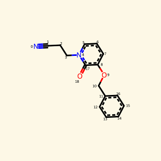 N#CCCn1cccc(OCc2ccccc2)c1=O